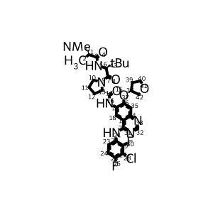 CN[C@@H](C)C(=O)N[C@H](C(=O)N1CCC[C@H]1C(=O)Nc1cc2c(Nc3ccc(F)c(Cl)c3F)ncnc2cc1O[C@H]1CCOC1)C(C)(C)C